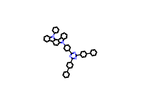 c1ccc(-c2ccc(-c3nc(-c4ccc(-c5ccccc5)cc4)nc(-c4ccc(-n5c6ccccc6c6c5ccc5c7ccccc7n(-c7ccccc7)c56)cc4)n3)cc2)cc1